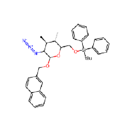 C[C@@H]1C(CO[Si](c2ccccc2)(c2ccccc2)C(C)(C)C)OC(OCc2ccc3ccccc3c2)C(N=[N+]=[N-])[C@H]1C